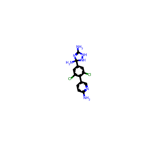 NC1=NC(N)(c2cc(Cl)c(-c3ccc(N)nc3)c(Cl)c2)NN1